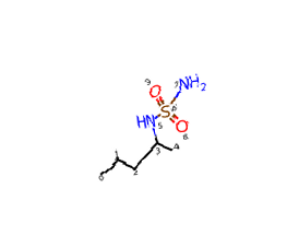 CCCC(C)NS(N)(=O)=O